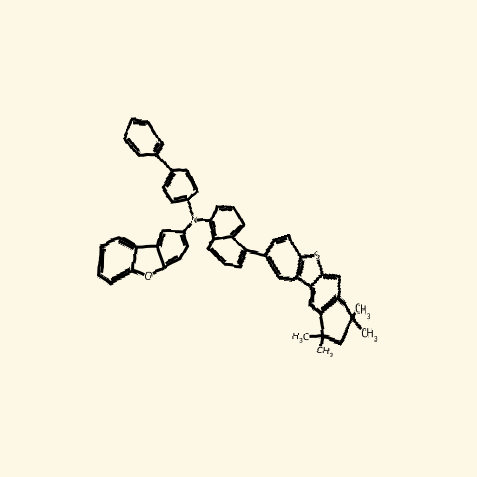 CC1(C)CC(C)(C)c2cc3c(cc21)sc1ccc(-c2cccc4c(N(c5ccc(-c6ccccc6)cc5)c5ccc6oc7ccccc7c6c5)cccc24)cc13